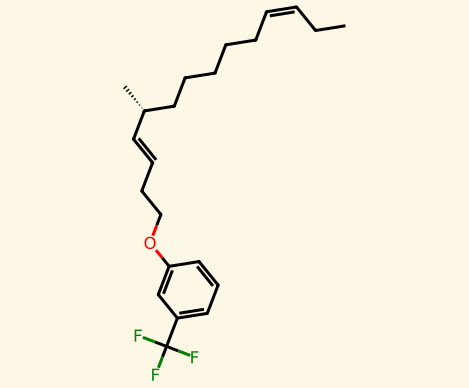 CC/C=C\CCCCC[C@@H](C)/C=C/CCOc1cccc(C(F)(F)F)c1